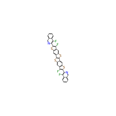 Fc1c(-c2sc3cc4c(cc3c2F)sc2c3cc5sc(-c6ncc7ccccc7c6F)c(F)c5cc3sc42)ncc2ccccc12